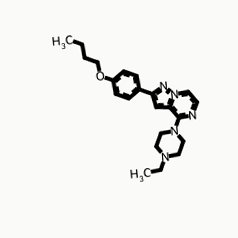 CCCCOc1ccc(-c2cc3c(N4CCN(CC)CC4)nccn3n2)cc1